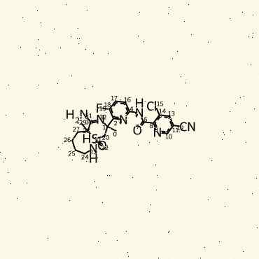 CC1(c2nc(NC(=O)c3ncc(C#N)cc3Cl)ccc2F)C[SH]2(=O)NCCCCC2(C)C(N)=N1